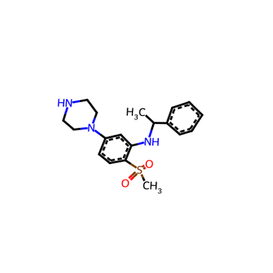 CC(Nc1cc(N2CCNCC2)ccc1S(C)(=O)=O)c1ccccc1